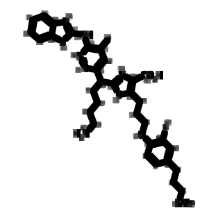 CNCCCc1ccc(OCCCc2sc(C(CCCCN)c3cc(C)c(Nc4nc5ccccc5s4)nn3)nc2C(=O)O)c(F)c1